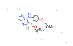 COCCOc1ccc(Nc2c(CCO[Si](C)(C)C(C)(C)C)c(Cl)nc3ccnn23)cc1